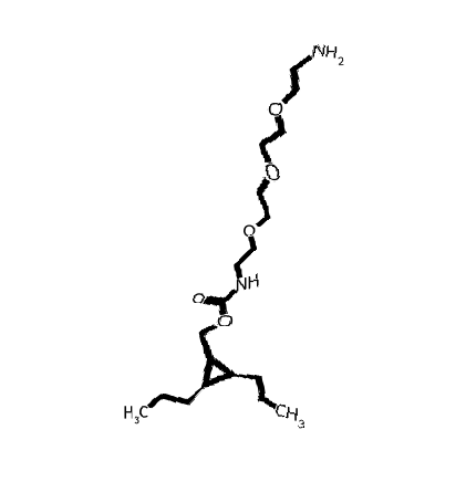 CCC[C@@H]1C(COC(=O)NCCOCCOCCOCCN)[C@@H]1CCC